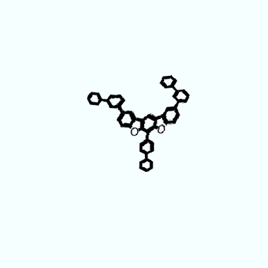 c1ccc(-c2ccc(-c3c4oc5ccc(-c6cccc(-c7ccccc7)c6)cc5c4cc4c3oc3ccc(-c5cccc(-c6ccccc6)c5)cc34)cc2)cc1